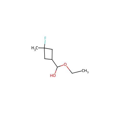 CCOC(O)C1CC(C)(F)C1